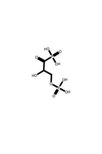 O=C(C(O)COP(=O)(O)O)P(=O)(O)O